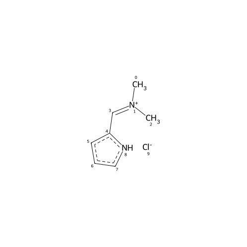 C[N+](C)=Cc1ccc[nH]1.[Cl-]